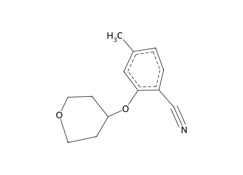 Cc1ccc(C#N)c(OC2CCOCC2)c1